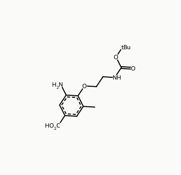 Cc1cc(C(=O)O)cc(N)c1OCCNC(=O)OC(C)(C)C